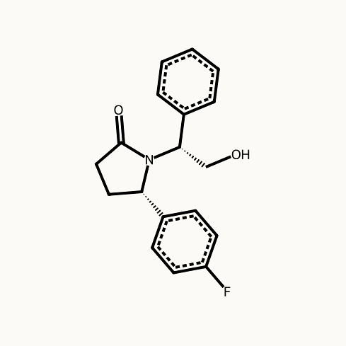 O=C1CC[C@@H](c2ccc(F)cc2)N1[C@@H](CO)c1ccccc1